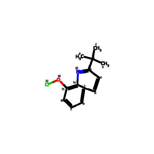 CC(C)(C)c1ccc2cccc(OCl)c2n1